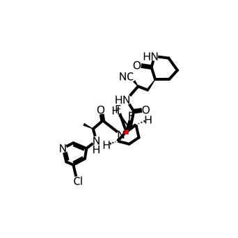 C[C@H](Nc1cncc(Cl)c1)C(=O)N1[C@@H]2CC[C@H]([C@H]1C(=O)N[C@@H](C#N)C[C@@H]1CCCNC1=O)C(F)(F)C2